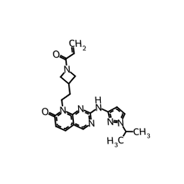 C=CC(=O)N1CC(CCn2c(=O)ccc3cnc(Nc4ccn(C(C)C)n4)nc32)C1